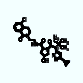 CC(C)(C)[C@@H](C(=O)N1CC(O)CC1C(=O)NCCN1CCc2c(Cl)cccc2C1=O)n1cc(C2CC2)nn1